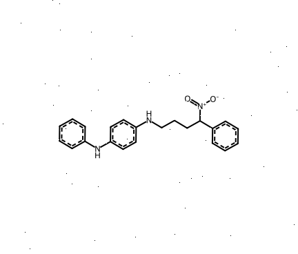 O=[N+]([O-])C(CCCNc1ccc(Nc2ccccc2)cc1)c1ccccc1